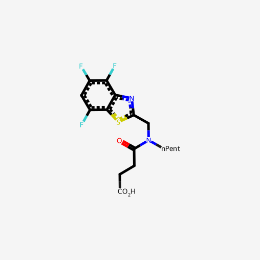 CCCCCN(Cc1nc2c(F)c(F)cc(F)c2s1)C(=O)CCC(=O)O